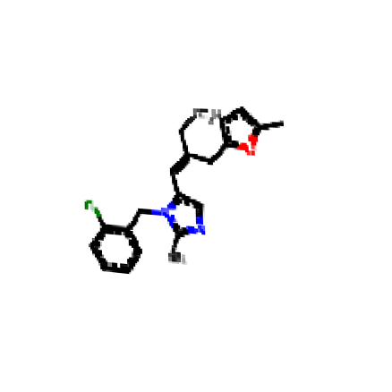 CCCCc1ncc(C=C(CC(=O)O)Cc2ccc(C)o2)n1Cc1ccccc1Cl